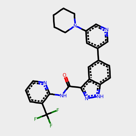 O=C(Nc1ncccc1C(F)(F)F)c1n[nH]c2ccc(-c3cncc(N4CCCCC4)c3)cc12